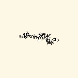 CNS(=O)(=O)c1cccc(OCCCN[C@H]2COC3(CCN([S+]([O-])c4cnc5[nH]cc(C(F)(F)F)c5c4)CC3)C2)c1